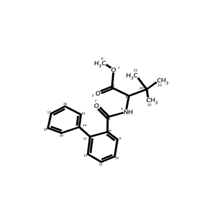 COC(=O)C(NC(=O)c1ccccc1-c1ccccc1)C(C)(C)C